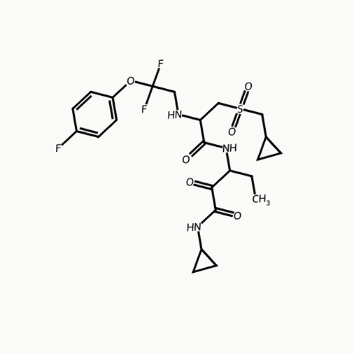 CCC(NC(=O)C(CS(=O)(=O)CC1CC1)NCC(F)(F)Oc1ccc(F)cc1)C(=O)C(=O)NC1CC1